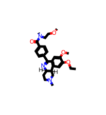 CCOc1cc2c(cc1OC)C(c1ccc(C(=O)N(C)CCOC)cc1)=N[C@@H]1CCN(C)C[C@H]21